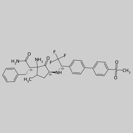 CC1C[C@H](N[C@@H](c2ccc(-c3ccc(S(C)(=O)=O)cc3)cc2)C(F)(F)F)C(=O)C1(N)[C@H](Cc1ccccc1)C(N)=O